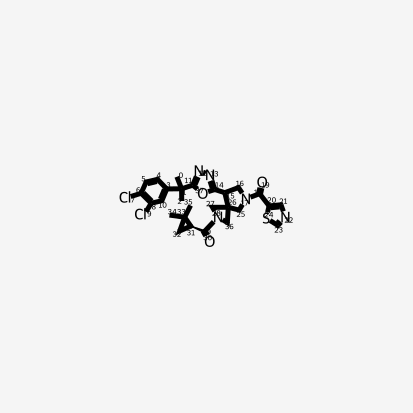 CC(C)(c1ccc(Cl)c(Cl)c1)c1nnc(C2CN(C(=O)c3cncs3)CC23CN(C(=O)[C@H]2CC2(C)C)C3)o1